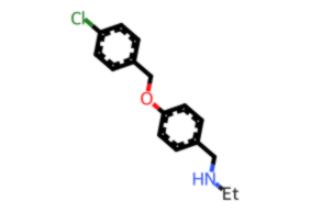 [CH2]CNCc1ccc(OCc2ccc(Cl)cc2)cc1